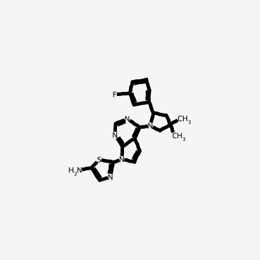 CC1(C)CC(c2cccc(F)c2)N(c2ncnc3c2ccn3-c2ncc(N)s2)C1